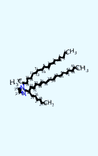 CCCCCCCCCCCCCCCCCC(C)n1ccnc1C(CCCCCC)CCCCCCCCCCCCCCCC